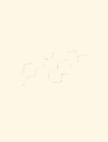 O=C1CCCC2=C1C(c1ccc(Br)cc1)NC(=O)N2c1cccc(C(F)F)c1